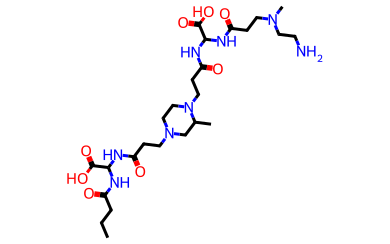 CCCC(=O)NC(NC(=O)CCN1CCN(CCC(=O)NC(NC(=O)CCN(C)CCN)C(=O)O)C(C)C1)C(=O)O